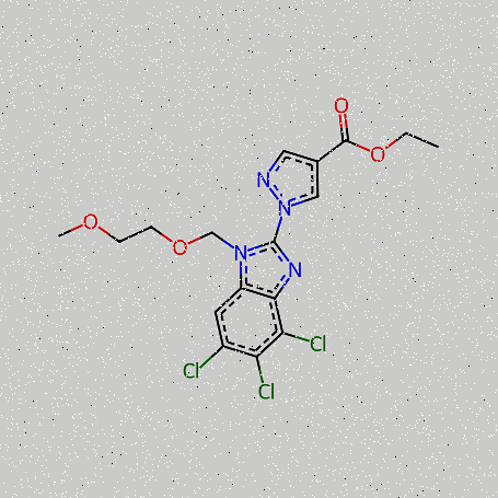 CCOC(=O)c1cnn(-c2nc3c(Cl)c(Cl)c(Cl)cc3n2COCCOC)c1